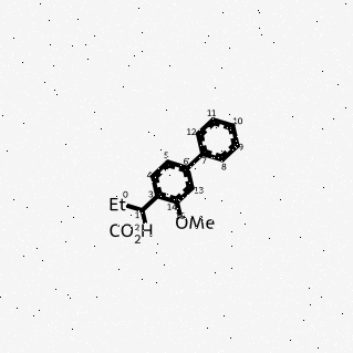 CCC(C(=O)O)c1ccc(-c2ccccc2)cc1OC